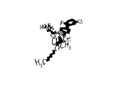 CCCCCCCOC(=O)C(C)(O)CN(Cc1ccc(-c2cc(Cl)ccc2F)cc1)NC(=O)c1cn(O)nn1